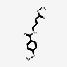 COC(=O)/C=C/CNC(=O)c1ccc(OC)cc1